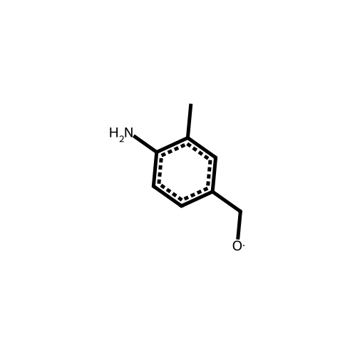 Cc1cc(C[O])ccc1N